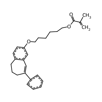 C=C(C)C(=O)OCCCCCCOc1ccc2c(c1)C=C(c1ccccc1)CCC2